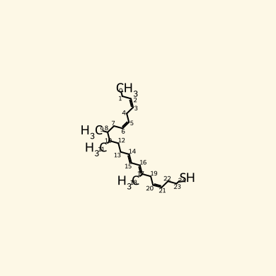 CC/C=C\C/C=C\CC(C)C(C)CC/C=C/C=C(\C)C/C=C\CCS